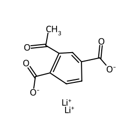 CC(=O)c1cc(C(=O)[O-])ccc1C(=O)[O-].[Li+].[Li+]